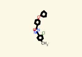 [CH2]c1ccc(-c2noc(-c3ccc(Oc4ccccc4)cc3)n2)c(Cl)c1